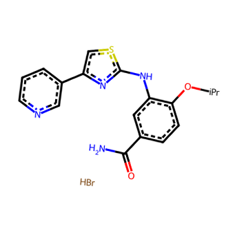 Br.CC(C)Oc1ccc(C(N)=O)cc1Nc1nc(-c2cccnc2)cs1